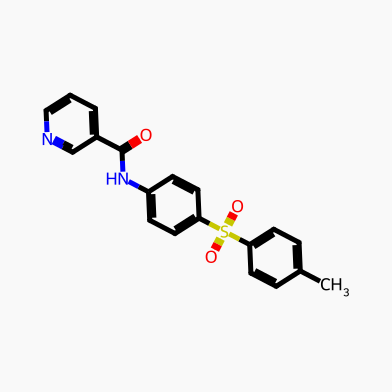 Cc1ccc(S(=O)(=O)c2ccc(NC(=O)c3cccnc3)cc2)cc1